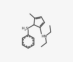 CC1=CC=C(C)[C]1[SiH2]c1ccccc1.CCNCC